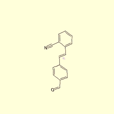 N#Cc1ccccc1/C=C/c1ccc(C=O)cc1